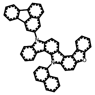 c1ccc2c(c1)-c1cccc3cc(-n4c5ccccc5c5c4ccc4c6c7c(ccc6n(-c6cccc8ccccc68)c45)oc4ccccc47)cc-2c13